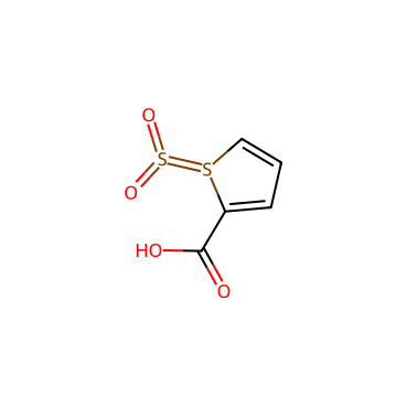 O=C(O)C1=CC=CS1=S(=O)=O